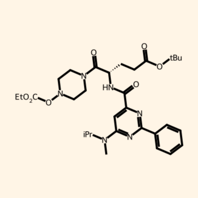 CCOC(=O)ON1CCN(C(=O)[C@H](CCC(=O)OC(C)(C)C)NC(=O)c2cc(N(C)C(C)C)nc(-c3ccccc3)n2)CC1